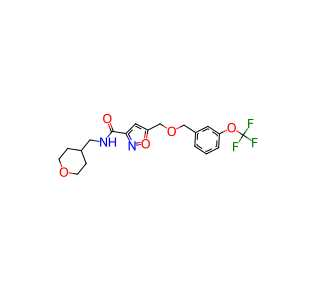 O=C(NCC1CCOCC1)c1cc(COCc2cccc(OC(F)(F)F)c2)on1